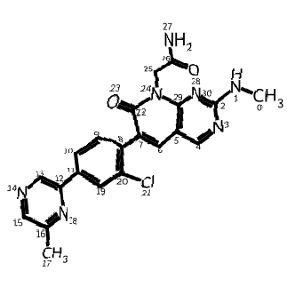 CNc1ncc2cc(-c3ccc(-c4cncc(C)n4)cc3Cl)c(=O)n(CC(N)=O)c2n1